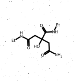 CCNC(=O)CC(O)(CC(N)=O)C(=O)NCC